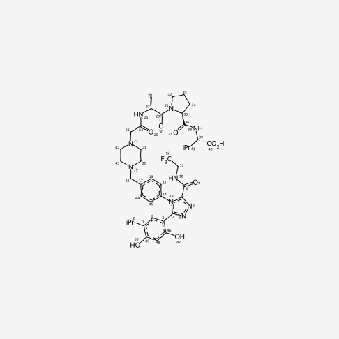 CC(C)c1cc(-c2nnc(C(=O)NCC(F)(F)F)n2-c2ccc(CN3CCN(CC(=O)N[C@@H](C)C(=O)N4CCC[C@H]4C(=O)N[C@H](C(=O)O)C(C)C)CC3)cc2)c(O)cc1O